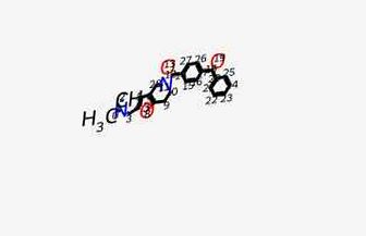 CN(C)Cc1cc2c(o1)CCN(C(=O)c1ccc(C(=O)c3ccccc3)cc1)C2